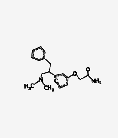 CN(C)CC(Cc1ccccc1)c1cccc(OCC(N)=O)c1